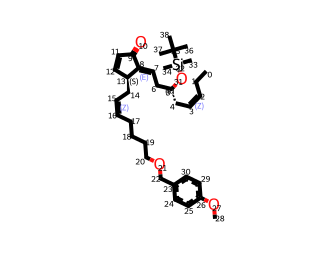 CC/C=C\C[C@H](C/C=C1/C(=O)C=C[C@@H]1C/C=C\CCCCOCc1ccc(OC)cc1)O[Si](C)(C)C(C)(C)C